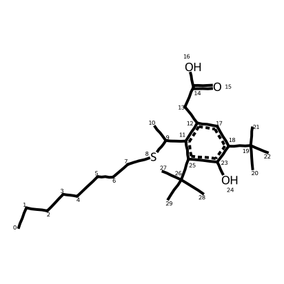 CCCCCCCCSC(C)c1c(CC(=O)O)cc(C(C)(C)C)c(O)c1C(C)(C)C